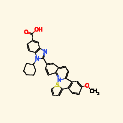 COc1ccc(-c2cccs2)c(-c2ccc3cc(-c4nc5cc(C(=O)O)ccc5n4C4CCCCC4)ccc3n2)c1